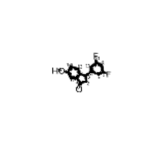 O=C1CC(c2cc(F)cc(F)c2)c2ccc(O)cc21